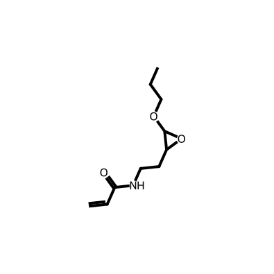 C=CC(=O)NCCC1OC1OCCC